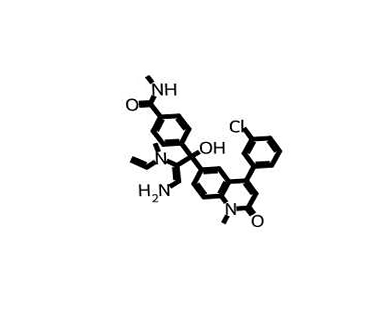 C=CN(C)/C(=C\N)C(O)(c1ccc(C(=O)NC)cc1)c1ccc2c(c1)c(-c1cccc(Cl)c1)cc(=O)n2C